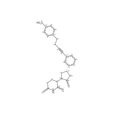 O=C1CCC(N2C[C@H](c3cccc(C#CCCc4ccc(S(=O)(=O)O)cc4)c3)OC2=O)C(=O)N1